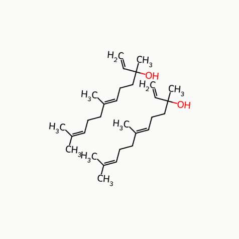 C=CC(C)(O)CC/C=C(\C)CCC=C(C)C.C=CC(C)(O)CC/C=C(\C)CCC=C(C)C